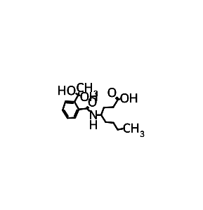 CCCCC(CCC(=O)O)NC(=O)c1ccccc1C(C)(O)O